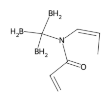 BC(B)(B)N(/C=C\C)C(=O)C=C